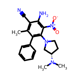 Cc1c(C#N)c(N)c([N+](=O)[O-])c(N2CC[C@H](N(C)C)C2)c1-c1ccccc1